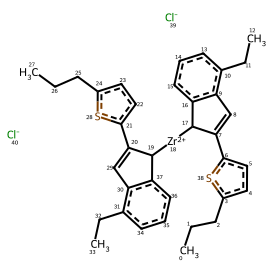 CCCc1ccc(C2=Cc3c(CC)cccc3[CH]2[Zr+2][CH]2C(c3ccc(CCC)s3)=Cc3c(CC)cccc32)s1.[Cl-].[Cl-]